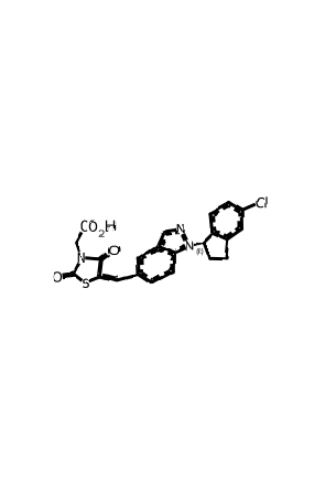 O=C(O)CN1C(=O)SC(=Cc2ccc3c(cnn3[C@@H]3CCc4cc(Cl)ccc43)c2)C1=O